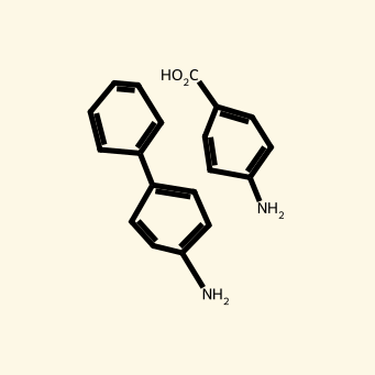 Nc1ccc(-c2ccccc2)cc1.Nc1ccc(C(=O)O)cc1